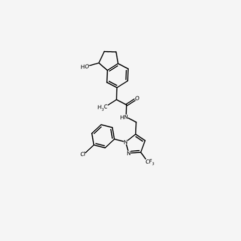 CC(C(=O)NCc1cc(C(F)(F)F)nn1-c1cccc(Cl)c1)c1ccc2c(c1)C(O)CC2